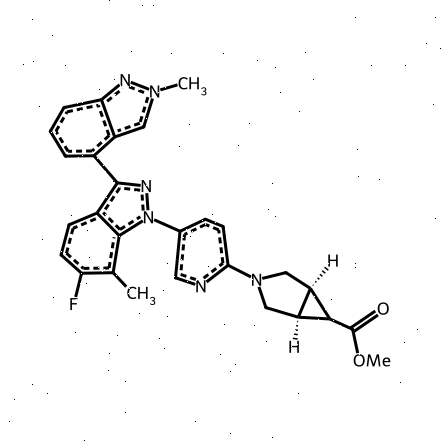 COC(=O)C1[C@H]2CN(c3ccc(-n4nc(-c5cccc6nn(C)cc56)c5ccc(F)c(C)c54)cn3)C[C@@H]12